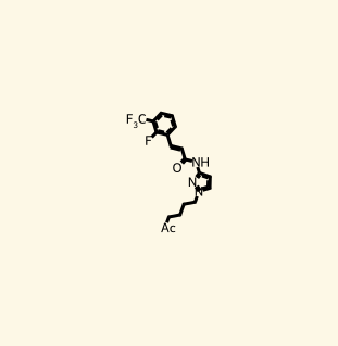 CC(=O)CCCCn1ccc(NC(=O)/C=C/c2cccc(C(F)(F)F)c2F)n1